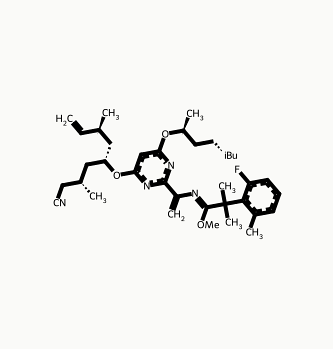 C=C[C@@H](C)C[C@@H](C[C@H](C)CC#N)Oc1cc(O[C@@H](C)CC[C@@H](C)CC)nc(C(=C)/N=C(\OC)C(C)(C)c2c(C)cccc2F)n1